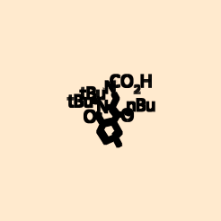 CCCCOc1c(CN(C(=O)O)C(C)(C)C)n(CC(C)(C)C)c(=O)c2ccc(C)cc12